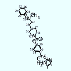 CC(Sc1ncc[nH]1)c1ccc(OC(=O)N2CCC(CCN(C)Cc3ccccc3)CC2)cc1